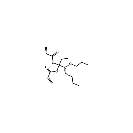 C=CC(=O)OC(CC)(OC(=O)C=C)[SiH](OCCC)OCCC